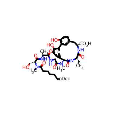 CCCCCCCCCCCCCCCC(=O)N(C)[C@H](CO)C(=O)N[C@H](C)C(=O)NCC(=O)N(C)[C@@H]1C(=O)N[C@@H](CC(F)(F)F)C(=O)N[C@H](C(=O)O)Cc2ccc(O)c(c2)-c2cc1ccc2O